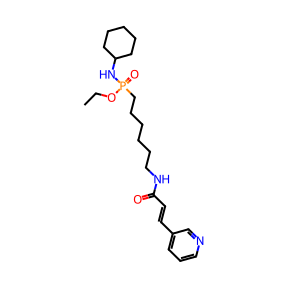 CCOP(=O)(CCCCCCNC(=O)/C=C/c1cccnc1)NC1CCCCC1